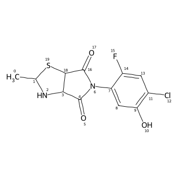 CC1NC2C(=O)N(c3cc(O)c(Cl)cc3F)C(=O)C2S1